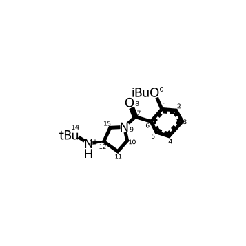 CC(C)COc1ccccc1C(=O)N1CC[C@@H](NC(C)(C)C)C1